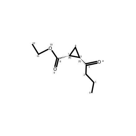 CCCC(=O)[C@H]1C[C@H]1C(=O)OCC